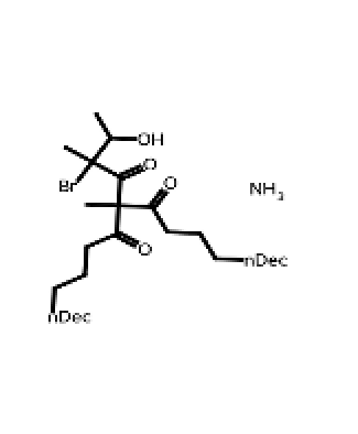 CCCCCCCCCCCCCC(=O)C(C)(C(=O)CCCCCCCCCCCCC)C(=O)C(C)(Br)C(C)O.N